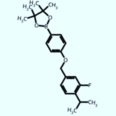 CC(C)c1ccc(COc2ccc(B3OC(C)(C)C(C)(C)O3)cc2)cc1F